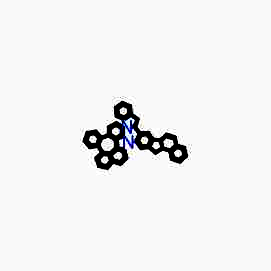 C1=CC2c3cc(C4=Nc5ccccc5C4)c(-n4c5cccc6c5c5c7c(cccc7ccc54)-c4ccccc4-6)cc3CC2c2ccccc21